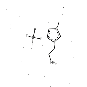 C[n+]1ccn(CCN)c1.F[B-](F)(F)F